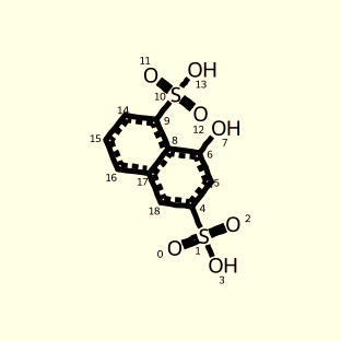 O=S(=O)(O)c1[c]c(O)c2c(S(=O)(=O)O)cccc2c1